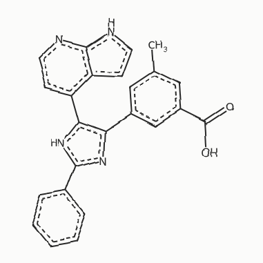 Cc1cc(C(=O)O)cc(-c2nc(-c3ccccc3)[nH]c2-c2ccnc3[nH]ccc23)c1